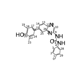 Cc1ccc(NC(=O)Nc2cnc3ccc(-c4cc(C)c(O)c(C)c4)cc3n2)cc1